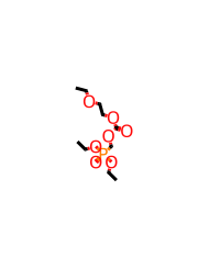 CCOCCOC(=O)OCP(=O)(OCC)OCC